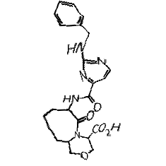 O=C(NC1CCCCC2COCC(C(=O)O)N2C1=O)c1ccnc(NCc2ccccc2)n1